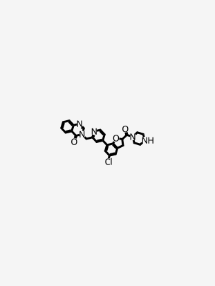 O=C(C1Cc2cc(Cl)cc(-c3ccnc(Cn4cnc5ccccc5c4=O)c3)c2O1)N1CCNCC1